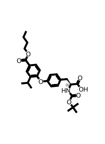 CCCCOC(=O)c1ccc(Oc2ccc(C[C@H](NC(=O)OC(C)(C)C)C(=O)O)cc2)c(C(C)C)c1